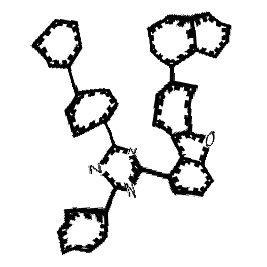 c1ccc(-c2ccc(-c3nc(-c4ccccc4)nc(-c4cccc5oc6cc(-c7cccc8ccccc78)ccc6c45)n3)cc2)cc1